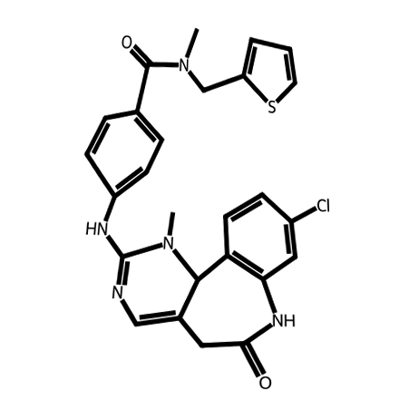 CN(Cc1cccs1)C(=O)c1ccc(NC2=NC=C3CC(=O)Nc4cc(Cl)ccc4C3N2C)cc1